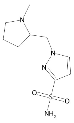 CN1CCCC1Cn1ccc(S(N)(=O)=O)n1